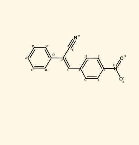 N#CC(=Cc1ccc([N+](=O)[O-])cc1)c1ccccc1